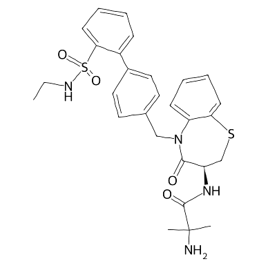 CCNS(=O)(=O)c1ccccc1-c1ccc(CN2C(=O)[C@H](NC(=O)C(C)(C)N)CSc3ccccc32)cc1